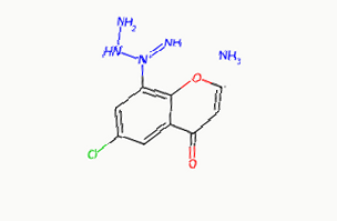 N.N=[N+](NN)c1cc(Cl)cc2c(=O)c[c]oc12